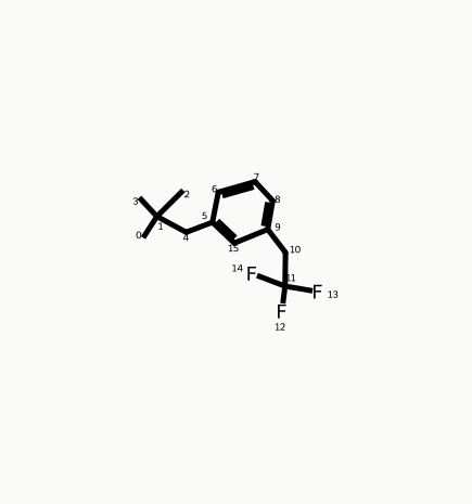 CC(C)(C)Cc1cccc(CC(F)(F)F)c1